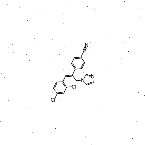 N#Cc1ccc(C(=Cc2ccc(Cl)cc2Cl)Cn2ccnc2)cc1